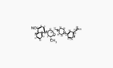 C[C@@H]1CN(c2ccc(C#N)c3ncccc23)C[C@H](CN2CCN(c3ccnc(C4CC4)c3)CC2)O1